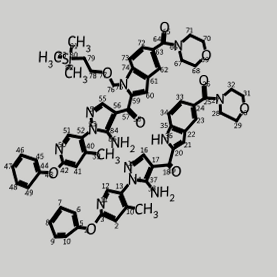 Cc1cc(Oc2ccccc2)ncc1-n1ncc(C(=O)c2cc3cc(C(=O)N4CCOCC4)ccc3[nH]2)c1N.Cc1cc(Oc2ccccc2)ncc1-n1ncc(C(=O)c2cc3cc(C(=O)N4CCOCC4)ccc3n2COCC[Si](C)(C)C)c1N